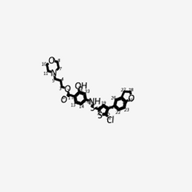 O=C(OCCCN1CCOCC1)c1ccc(NSc2cc(-c3ccc4c(c3)CCO4)c(Cl)s2)cc1O